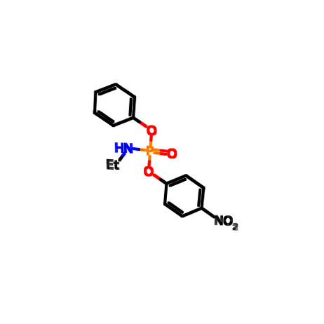 CCNP(=O)(Oc1ccccc1)Oc1ccc([N+](=O)[O-])cc1